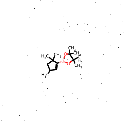 CC1C=C(B2OC(C)(C)C(C)(C)O2)C(C)(C)C1